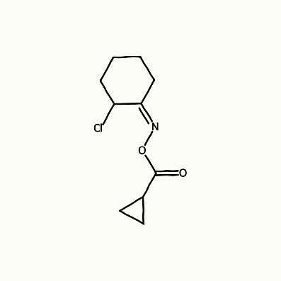 O=C(ON=C1CCCCC1Cl)C1CC1